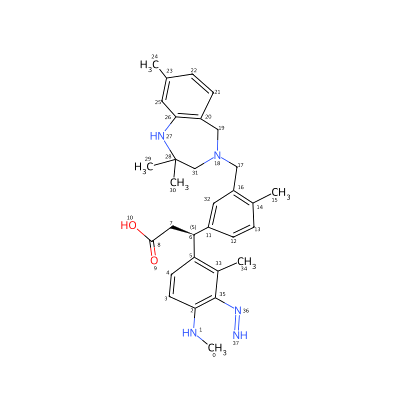 CNc1ccc([C@@H](CC(=O)O)c2ccc(C)c(CN3Cc4ccc(C)cc4NC(C)(C)C3)c2)c(C)c1N=N